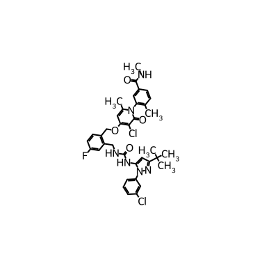 CNC(=O)c1ccc(C)c(-n2c(C)cc(OCc3ccc(F)cc3CNC(=O)Nc3cc(C(C)(C)C)nn3-c3cccc(Cl)c3)c(Cl)c2=O)c1